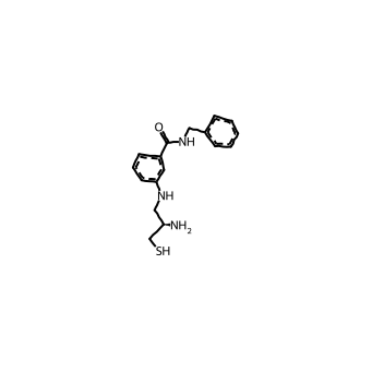 N[C@@H](CS)CNc1cccc(C(=O)NCc2ccccc2)c1